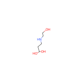 OCCNCCC(O)O